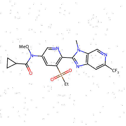 CCS(=O)(=O)c1cc(N(OC)C(=O)C2CC2)cnc1-c1nc2cc(C(F)(F)F)ncc2n1C